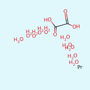 O.O.O.O.O.O.O.O.O.O.O=C(O)C(=O)O.[Pr]